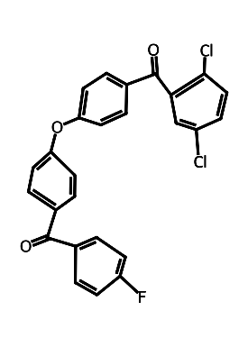 O=C(c1ccc(F)cc1)c1ccc(Oc2ccc(C(=O)c3cc(Cl)ccc3Cl)cc2)cc1